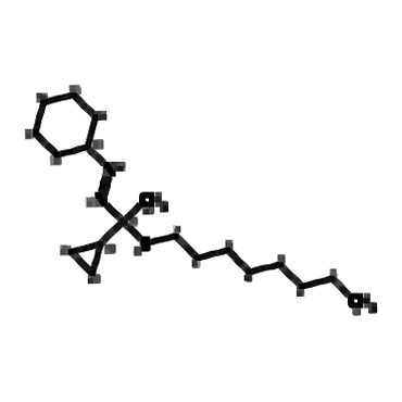 CCCCCCCCSC(C)(N=NC1CCCCC1)C1CC1